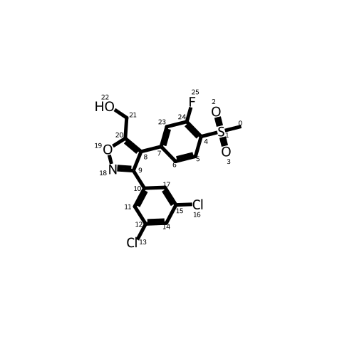 CS(=O)(=O)c1ccc(-c2c(-c3cc(Cl)cc(Cl)c3)noc2CO)cc1F